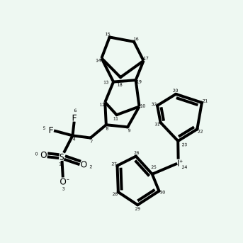 O=S(=O)([O-])C(F)(F)CC1CC2CC1C1C3CCC(C3)C21.c1ccc([I+]c2ccccc2)cc1